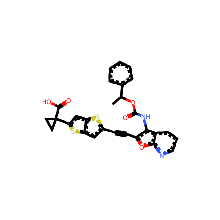 CC(OC(=O)Nc1c(C#Cc2cc3sc(C4(C(=O)O)CC4)cc3s2)oc2ncccc12)c1ccccc1